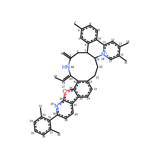 C=C1CC2c3cc(C)ccc3-c3cc(C)c(C)c[n+]3C2CCc2ccc3c(oc4nc(-c5c(C)cccc5C)ccc43)c2/C(=C/C)N1